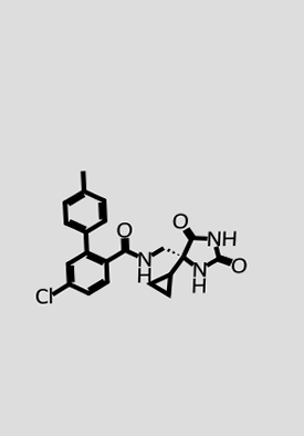 Cc1ccc(-c2cc(Cl)ccc2C(=O)NC[C@@]2(C3CC3)NC(=O)NC2=O)cc1